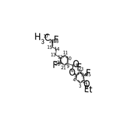 CCOc1ccc(OC(=O)c2ccc(CCC=C(C)F)c(F)c2)c(F)c1F